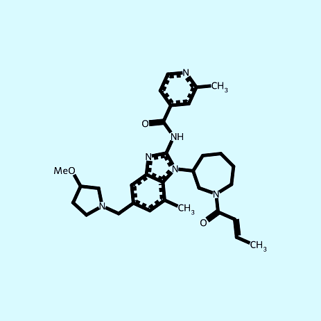 CC=CC(=O)N1CCCCC(n2c(NC(=O)c3ccnc(C)c3)nc3cc(CN4CCC(OC)C4)cc(C)c32)C1